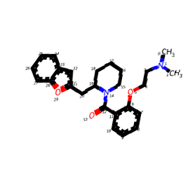 CN(C)CCOc1ccccc1C(=O)N1CCCCC1Cc1cc2ccccc2o1